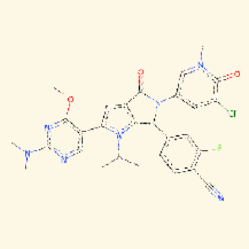 COc1nc(N(C)C)ncc1-c1cc2c(n1C(C)C)C(c1ccc(C#N)c(F)c1)N(c1cc(Cl)c(=O)n(C)c1)C2=O